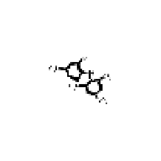 O=[N+]([O-])c1ccc(Nc2c([N+](=O)[O-])cc([N+](=O)[O-])cc2C(F)(F)F)c(Br)c1